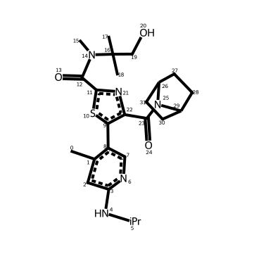 Cc1cc(NC(C)C)ncc1-c1sc(C(=O)N(C)C(C)(C)CO)nc1C(=O)N1C2CCC1CC2